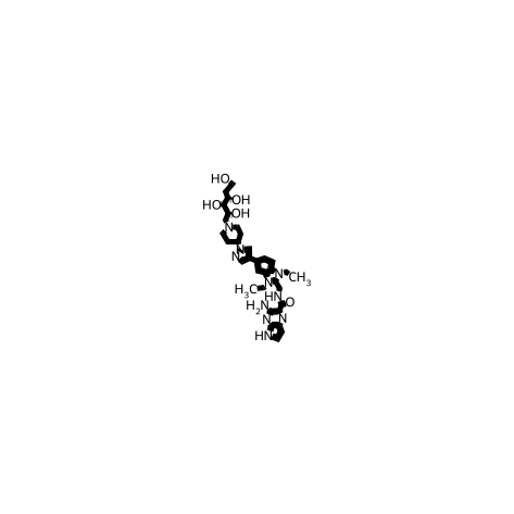 CCn1c(CNC(=O)c2nc3cc[nH]c3nc2N)[n+](CC)c2ccc(-c3cnn(C4CCN(C[C@H](O)[C@@H](O)[C@H](O)CCO)CC4)c3)cc21